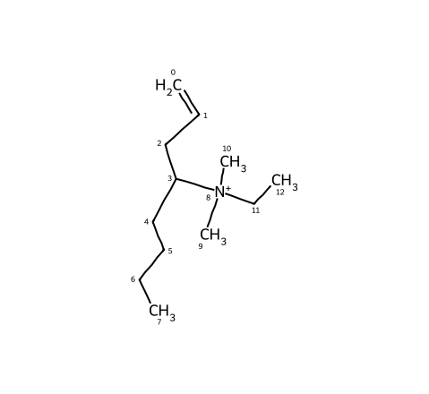 C=CCC(CCCC)[N+](C)(C)CC